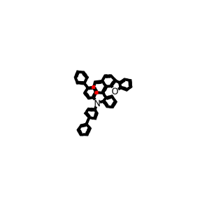 c1ccc(-c2ccc(N(c3ccc(-c4ccccc4)cc3)c3ccccc3-c3cccc4ccc5c6ccccc6oc5c34)cc2)cc1